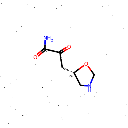 NC(=O)C(=O)C[C@H]1CNCO1